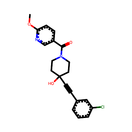 COc1ccc(C(=O)N2CCC(O)(C#Cc3cccc(Cl)c3)CC2)cn1